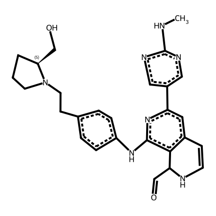 CNc1ncc(-c2cc3c(c(Nc4ccc(CCN5CCC[C@H]5CO)cc4)n2)C(C=O)NC=C3)cn1